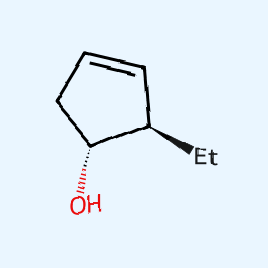 CC[C@@H]1C=CC[C@H]1O